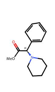 COC(=O)[C@@H](c1ccccc1)N1CCCCC1